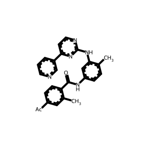 CC(=O)c1ccc(C(=O)Nc2ccc(C)c(Nc3nccc(-c4cccnc4)n3)c2)c(C)c1